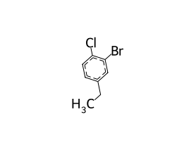 CCc1ccc(Cl)c(Br)c1